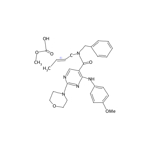 C/C=C/CN(Cc1ccccc1)C(=O)c1cnc(N2CCOCC2)nc1Nc1ccc(OC)cc1.COC(=O)O